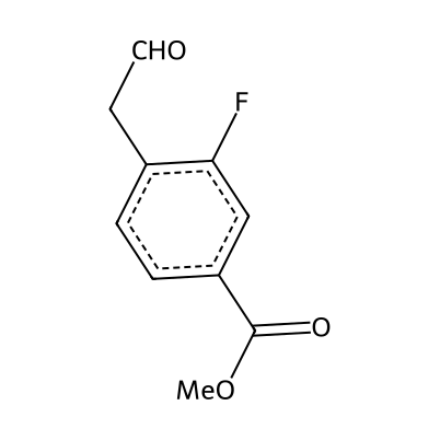 COC(=O)c1ccc(CC=O)c(F)c1